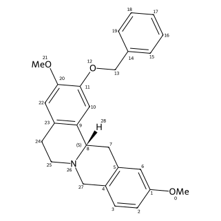 COc1ccc2c(c1)C[C@H]1c3cc(OCc4ccccc4)c(OC)cc3CCN1C2